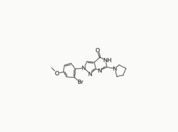 COc1ccc(-n2cc3c(=O)[nH]c(N4CCCC4)nc3n2)c(Br)c1